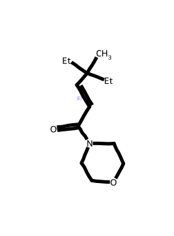 CCC(C)(/C=C/C(=O)N1CCOCC1)CC